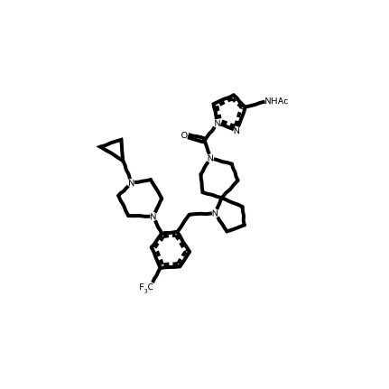 CC(=O)Nc1ccn(C(=O)N2CCC3(CCCN3Cc3ccc(C(F)(F)F)cc3N3CCN(C4CC4)CC3)CC2)n1